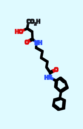 O=C(CC(O)C(=O)O)NCCCCCC(=O)Nc1cccc(-c2ccccc2)c1